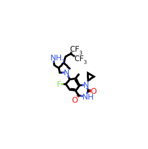 CC1=c2c(c(=O)[nH]c(=O)n2C2CC2)=CC(F)C1N1CC(CN)C(CC(C(F)(F)F)C(F)(F)F)C1